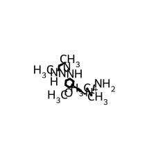 CNc1cc(C)nc(Nc2ccc(OC)c(C#CC[N+](C)(C)CCN)c2)n1